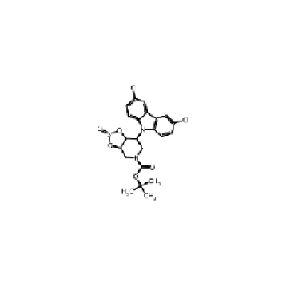 CC(C)(C)OC(=O)N1CC2OS(=O)OC2C(n2c3ccc(Cl)cc3c3cc(Cl)ccc32)C1